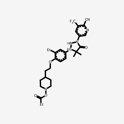 CCC(=O)ON1CCC(CCOc2ccc([SH]3NN(c4cnc(C#N)c(C(F)(F)F)c4)C(=O)C3(C)C)cc2CC)CC1